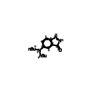 CCCCN(CCCC)c1ccc2c(c1)C(=O)N=N2